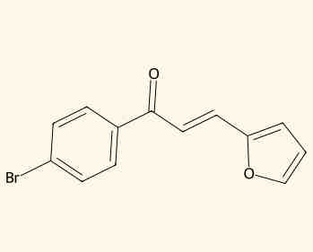 O=C(/C=C/c1ccco1)c1ccc(Br)cc1